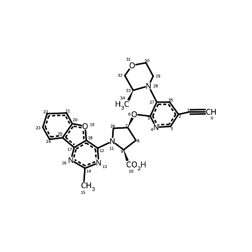 C#Cc1cnc(O[C@H]2C[C@@H](C(=O)O)N(c3nc(C)nc4c3oc3ccccc34)C2)c(N2CCOC[C@@H]2C)c1